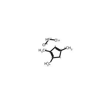 CC1=CC(C)=C(C)[CH]1.[Cl][Hf][Cl]